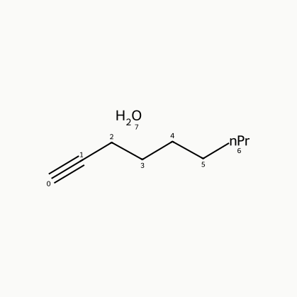 C#CCCCCCCC.O